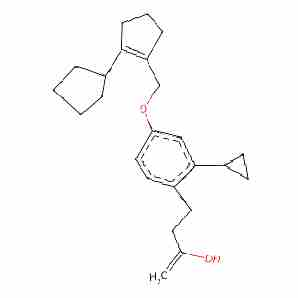 C=C(O)CCc1ccc(OCC2=C(C3CCCC3)CCC2)cc1C1CC1